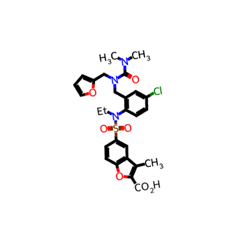 CCN(c1ccc(Cl)cc1CN(Cc1ccco1)C(=O)N(C)C)S(=O)(=O)c1ccc2oc(C(=O)O)c(C)c2c1